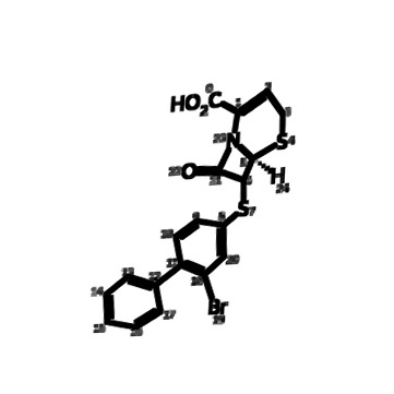 O=C(O)C1=CCS[C@H]2C(Sc3ccc(-c4ccccc4)c(Br)c3)C(=O)N12